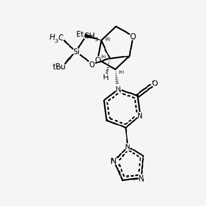 CC[C@]12COC([C@H](n3ccc(-n4cncn4)nc3=O)O1)[C@H]2O[Si](C)(C)C(C)(C)C